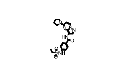 CCS(=O)(=O)Nc1ccc(C(=O)Nc2cnn3ccc(N4CCCC4)nc23)cc1